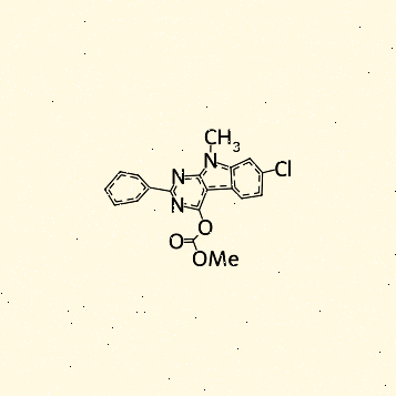 COC(=O)Oc1nc(-c2ccccc2)nc2c1c1ccc(Cl)cc1n2C